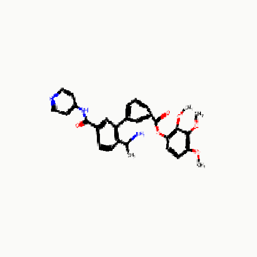 COc1ccc(OC(=O)c2cccc(-c3cc(C(=O)Nc4ccncc4)ccc3C(C)N)c2)c(OC)c1OC